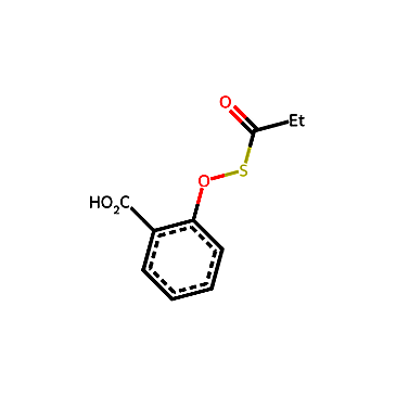 CCC(=O)SOc1ccccc1C(=O)O